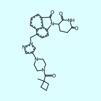 CC1(C(=O)N2CCN(c3cnn(Cc4ccc5c6c(cccc46)C(=O)N5C4CCC(=O)NC4=O)c3)CC2)CCC1